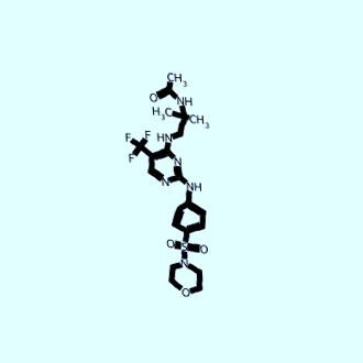 CC(=O)NC(C)(C)CNc1nc(Nc2ccc(S(=O)(=O)N3CCOCC3)cc2)ncc1C(F)(F)F